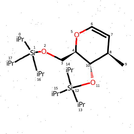 CC(C)[Si](OC[C@H]1OC=C[C@@H](C)[C@@H]1O[Si](C(C)C)(C(C)C)C(C)C)(C(C)C)C(C)C